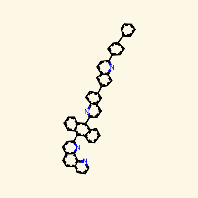 c1ccc(-c2ccc(-c3ccc4cc(-c5ccc6nc(-c7c8ccccc8c(-c8ccc9ccc%10cccnc%10c9n8)c8ccccc78)ccc6c5)ccc4n3)cc2)cc1